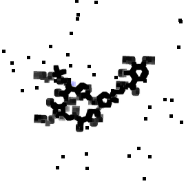 CC(C)(O/N=C(\C(=O)N[C@@H]1C(=O)N(S(=O)(=O)O)[C@@H]1CNC(=O)c1cc([C@@H]2CC[N+](C)(CCNC(=O)c3ccc(O)c(O)c3Cl)C2)no1)c1csc(N)n1)C(=O)O